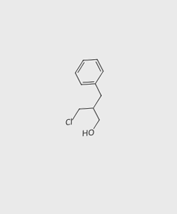 OCC(CCl)Cc1ccccc1